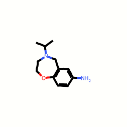 CC(C)N1CCOc2ccc(N)cc2C1